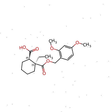 CC[C@]1(C(=O)OCc2ccc(OC)cc2OC)CCCC[C@H]1C(=O)O